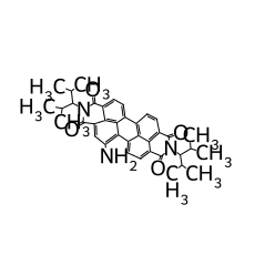 CC(C)C(C(C)C)N1C(=O)c2ccc3c4ccc5c6c(cc(N)c(c7ccc(c2c37)C1=O)c64)C(=O)N(C(C(C)C)C(C)C)C5=O